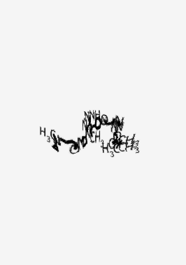 Cc1c(-c2ccc(OCc3cnnn3COC(=O)C(C)(C)C)cc2)c2c(N)ncnc2n1[C@@H]1CCN(C(=O)/C=C/CN(C)C2CC2)C1